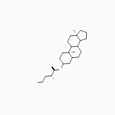 C[C@@]12CCC[C@H]1C1CCC3CC(OC(=O)[C@@H](N)CCC(=O)O)CC[C@]3(C)[C@H]1CC2